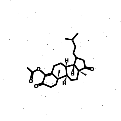 CC(=O)OC1=C2CC[C@@H]3[C@@H](CC[C@]4(C)C(=O)CC(CCC(C)C)[C@@H]34)[C@@]2(C)CCC1=O